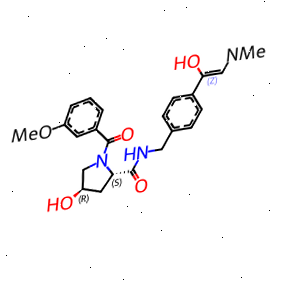 CN/C=C(\O)c1ccc(CNC(=O)[C@@H]2C[C@@H](O)CN2C(=O)c2cccc(OC)c2)cc1